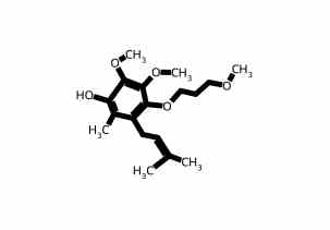 COCCCOc1c(CC=C(C)C)c(C)c(O)c(OC)c1OC